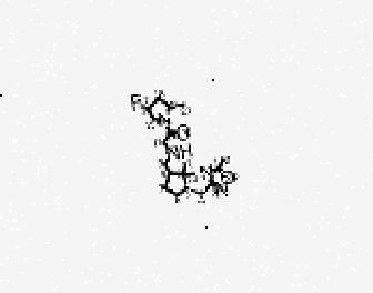 Cc1nc(C[C@H]2CCC(CNCC(=O)N3C[C@@H](F)C[C@H]3C)C2(C)C)no1